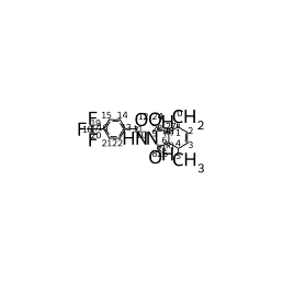 C=C1C=CC(C)[C@H]2C(=O)N(NC(=O)c3ccc(C(F)(F)F)cc3)C(=O)[C@@H]12